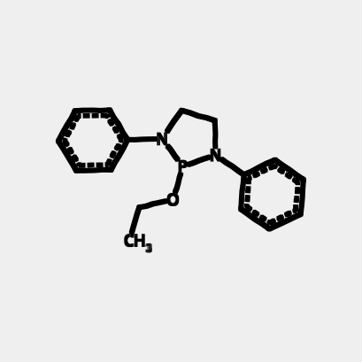 CCOP1N(c2ccccc2)CCN1c1ccccc1